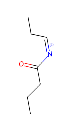 CC/C=N\C(=O)CCC